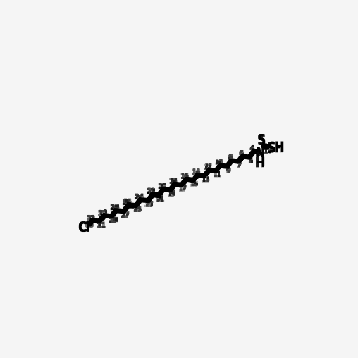 S=C(S)NCCCCCCCCCCCCCCCCCCCCCCCCCCCCCCl